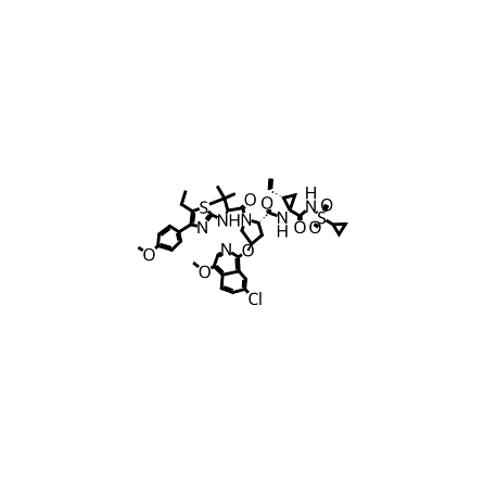 C=C[C@@H]1C[C@]1(NC(=O)[C@@H]1C[C@@H](Oc2ncc(OC)c3ccc(Cl)cc23)CN1C(=O)[C@@H](Nc1nc(-c2ccc(OC)cc2)c(CC)s1)C(C)(C)C)C(=O)NS(=O)(=O)C1CC1